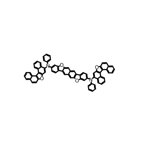 c1ccc(N(c2ccc3c(c2)oc2cc4cc5c(cc4cc23)oc2cc(N(c3ccccc3)c3cc4oc6ccc7ccccc7c6c4c4ccccc34)ccc25)c2cc3oc4ccc5ccccc5c4c3c3ccccc23)cc1